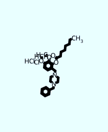 CCCCCCCC(=O)Oc1c(CN2CCN(Cc3ccccc3)CC2)ccc(OC)c1OC.Cl.Cl